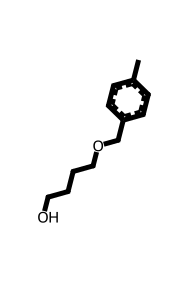 Cc1ccc(COCCCCO)cc1